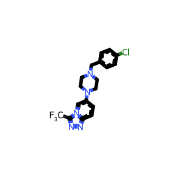 FC(F)(F)c1nnc2ccc(N3CCN(Cc4ccc(Cl)cc4)CC3)cn12